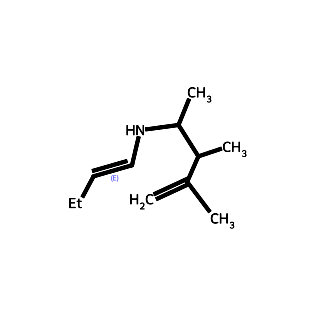 C=C(C)C(C)C(C)N/C=C/CC